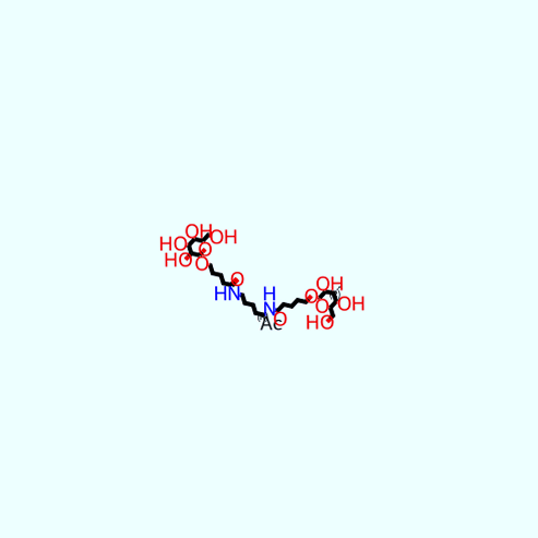 CC(=O)[C@@H](CCCCNC(=O)CCCCOC1OC(CO)C(O)C(O)C1O)NC(=O)CCCCOC1OC(CO)C(O)[C@@H](C)C1O